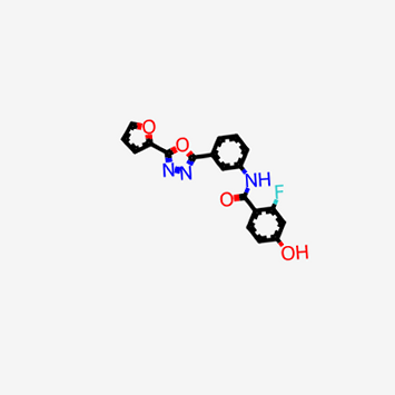 O=C(Nc1cccc(-c2nnc(-c3ccco3)o2)c1)c1ccc(O)cc1F